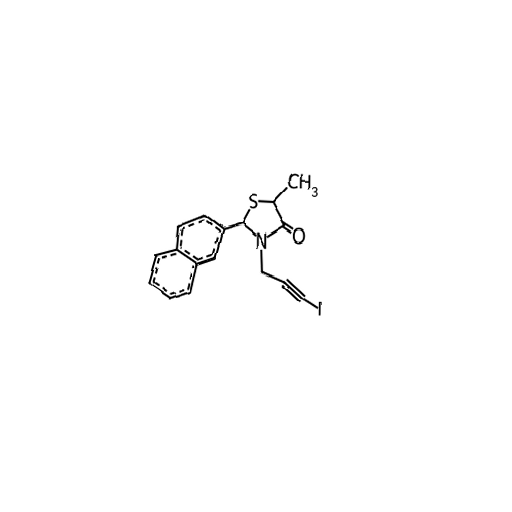 CC1SC(c2ccc3ccccc3c2)N(CC#CI)C1=O